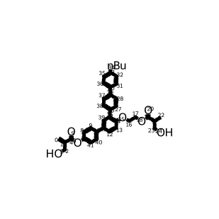 C=C(CO)C(=O)Oc1ccc(-c2ccc(OCCOC(=O)C(C)CO)c(-c3ccc(-c4ccc(CCCC)cc4)cc3)c2)cc1